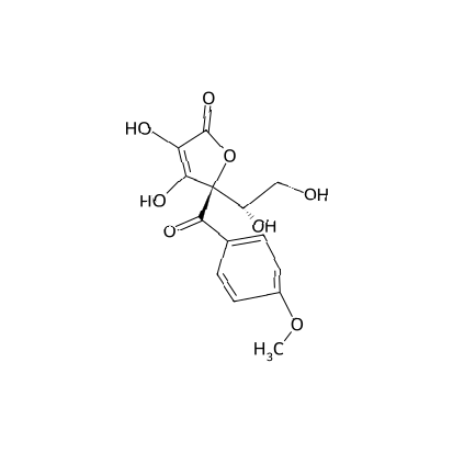 COc1ccc(C(=O)[C@]2([C@@H](O)CO)OC(=O)C(O)=C2O)cc1